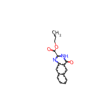 C=CCOC(=O)c1nc2cc3ccccc3cc2c(=O)[nH]1